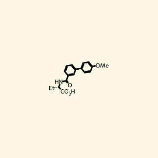 CC[C@H](NC(=O)c1cccc(-c2ccc(OC)cc2)c1)C(=O)O